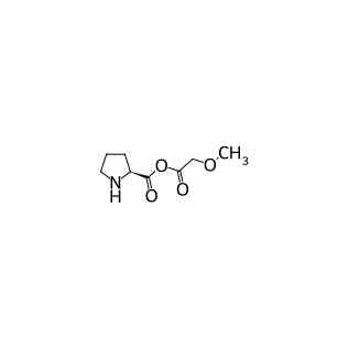 COCC(=O)OC(=O)[C@@H]1CCCN1